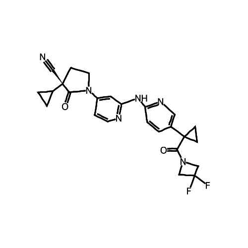 N#C[C@@]1(C2CC2)CCN(c2ccnc(Nc3ccc(C4(C(=O)N5CC(F)(F)C5)CC4)cn3)c2)C1=O